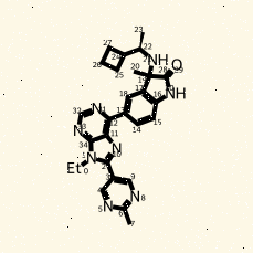 CCn1c(-c2cnc(C)nc2)nc2c(-c3ccc4c(c3)C(C)(N[C@H](C)C3CCC3)C(=O)N4)ncnc21